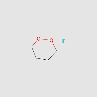 C1CCOOC1.F